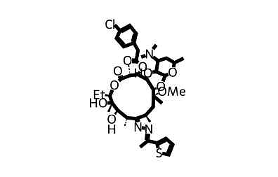 CC[C@H]1OC(=O)[C@H](C)[C@@H](OC(=O)Cc2ccc(Cl)cc2)[C@H](C)[C@@H](OC2OC(C)CC(N(C)C)C2O)[C@](C)(OC)C[C@@H](C)/C(=N\N=C(/C)c2cccs2)[C@H](C)[C@@H](O)[C@]1(C)O